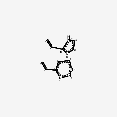 C=Cc1ccnnn1.C=Cc1ncc[nH]1